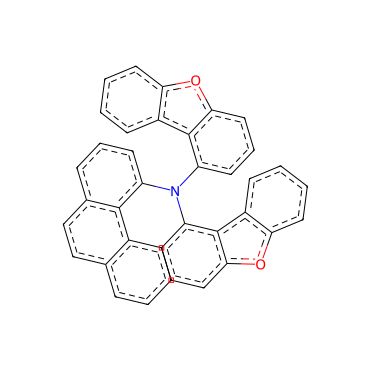 c1ccc2c(c1)ccc1cccc(N(c3cccc4oc5ccccc5c34)c3cccc4oc5ccccc5c34)c12